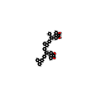 c1ccc(-c2nc(-c3ccc(-c4ccc(-c5cccc(-c6nc(-c7ccc(-c8ccc9c%10ccccc%10c%10ccccc%10c9c8)cc7)nc(-c7cccc8c7Oc7ccccc7C87c8ccccc8-c8ccccc87)n6)c5)c5cccnc45)cc3)nc(-c3cccc4c3Oc3ccccc3C43c4ccccc4-c4ccccc43)n2)cc1